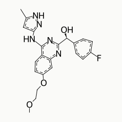 COCCOc1ccc2c(Nc3cc(C)[nH]n3)nc([C@@H](O)c3ccc(F)cc3)nc2c1